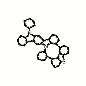 c1ccc(-n2c3ccccc3c3cc4c(cc32)c2cccc3c5cccc6sc7cccc(c8ccccc8n4c32)c7c65)cc1